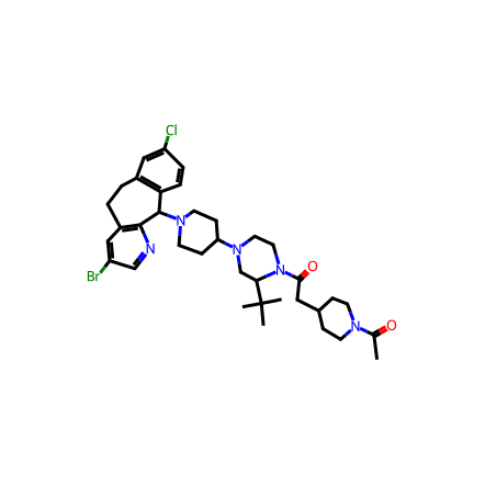 CC(=O)N1CCC(CC(=O)N2CCN(C3CCN(C4c5ccc(Cl)cc5CCc5cc(Br)cnc54)CC3)CC2C(C)(C)C)CC1